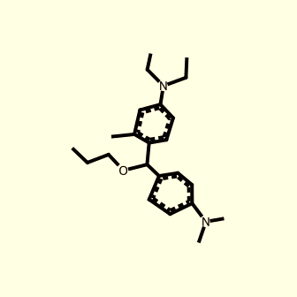 CCCOC(c1ccc(N(C)C)cc1)c1ccc(N(CC)CC)cc1C